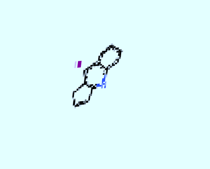 C1=Cc2nc3ccccc3cc2C1.I